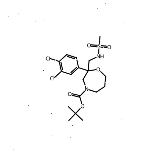 CC(C)(C)OC(=O)N1CCCOC(CNS(C)(=O)=O)(c2ccc(Cl)c(Cl)c2)C1